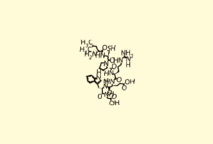 CC(C)C[C@H](N)C(=O)N[C@@H](CS)C(=O)N1CCC[C@H]1C(=O)N[C@@H](CCCNC(=N)N)C(=O)N[C@@H](CCC(=O)O)C(=O)N[C@@H](Cc1c[nH]c2ccccc12)C(=O)NCC(=O)O